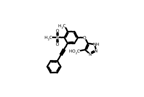 Cc1cc(Oc2[nH]nnc2C(=O)O)cc(C#Cc2ccccc2)c1S(C)(=O)=O